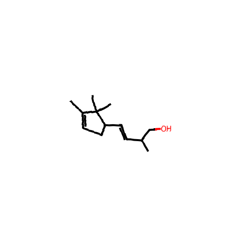 CC1=CCC(C=CC(C)CO)C1(C)C